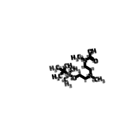 CN(CCO[Si](C)(C)C(C)(C)C)CCN(C)C(=O)O